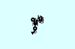 O=c1nccncc1Nc1nc2ccccc2c2nc(-c3ccc(OC4CC4)cc3)nn12